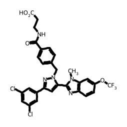 Cn1c(-c2cc(-c3cc(Cl)cc(Cl)c3)nn2Cc2ccc(C(=O)NCCC(=O)O)cc2)nc2ccc(OC(F)(F)F)cc21